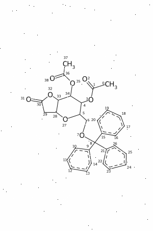 CC(=O)OC1C(COC(c2ccccc2)(c2ccccc2)c2ccccc2)OC2CC(=O)OC2C1OC(C)=O